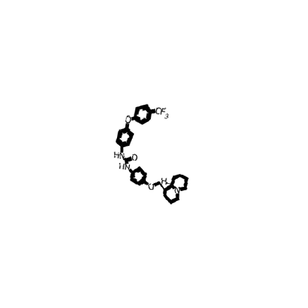 O=C(Nc1ccc(OC[C@@H]2CCCN3CCCC[C@H]23)cc1)Nc1ccc(Oc2ccc(C(F)(F)F)cc2)cc1